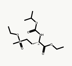 CCOC(=O)[C@H](CCP(C)(=O)OCC)NC(=O)OC(C)C